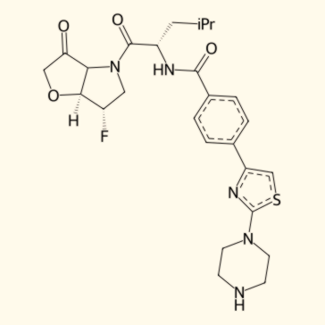 CC(C)C[C@H](NC(=O)c1ccc(-c2csc(N3CCNCC3)n2)cc1)C(=O)N1C[C@H](F)[C@H]2OCC(=O)C21